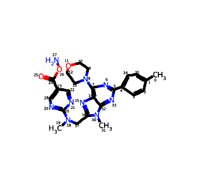 Cc1ccc(-c2nc(N3CCOCC3)c3nc(CN(C)c4ncc(C(=O)ON)cn4)n(C)c3n2)cc1